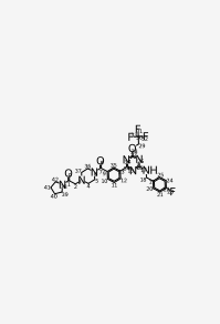 O=C(CN1CCN(C(=O)c2cccc(-c3nc(NCc4ccc(F)cc4)nc(OCC(F)(F)F)n3)c2)CC1)N1CCCC1